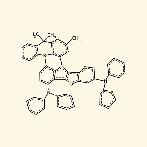 Cc1cc2c3c(c1)C(C)(C)c1ccccc1B3c1ccc(N(c3ccccc3)c3ccccc3)c3c4oc5cc(N(c6ccccc6)c6ccccc6)ccc5c4n-2c13